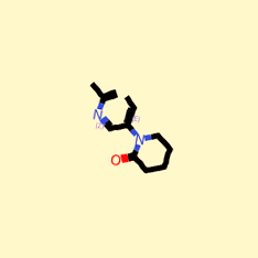 C=C(C)/N=C\C(=C/C)N1CCCCC1=O